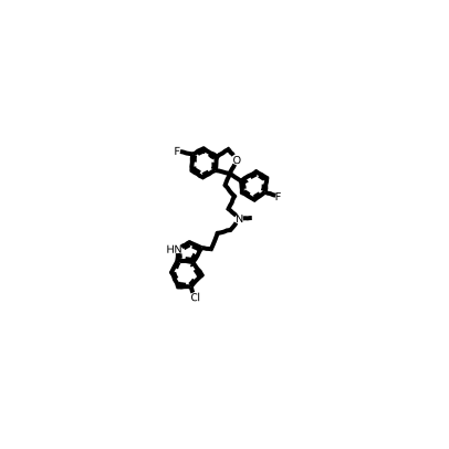 CN(CCCc1c[nH]c2ccc(Cl)cc12)CCCC1(c2ccc(F)cc2)OCc2cc(F)ccc21